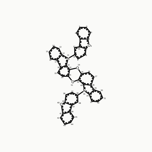 c1ccc2c(c1)oc1ccc(-n3c4ccccc4c4ccc5c(c43)Oc3ccc4c6ccccc6n(-c6ccc7oc8ccccc8c7c6)c4c3O5)cc12